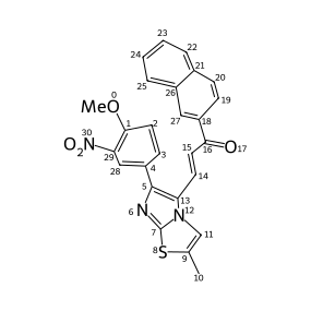 COc1ccc(-c2nc3sc(C)cn3c2/C=C/C(=O)c2ccc3ccccc3c2)cc1[N+](=O)[O-]